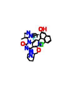 Cc1cnn(C(C)C)c1-n1c(=O)nc2c3c(nc(-c4cc(O)cc5cccc(Cl)c45)c(F)c31)OCC1C3CCC(CN21)N3